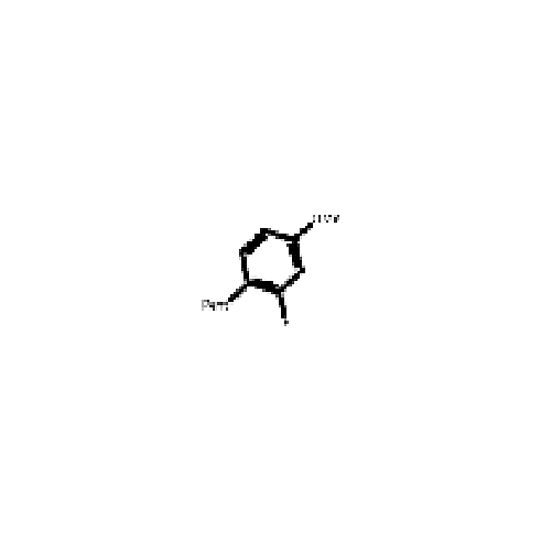 CCCC(C)c1ccc(OC)cc1F